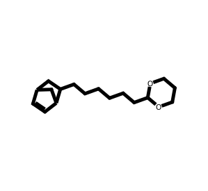 C1=CC2CC1CC2CCCCCCC1OCCCO1